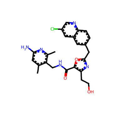 Cc1cc(N)nc(C)c1CNC(=O)c1oc(Cc2ccc3ncc(Cl)cc3c2)nc1CCO